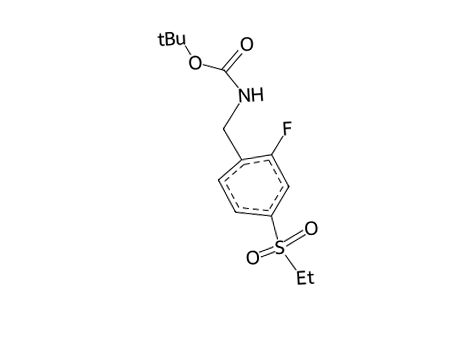 CCS(=O)(=O)c1ccc(CNC(=O)OC(C)(C)C)c(F)c1